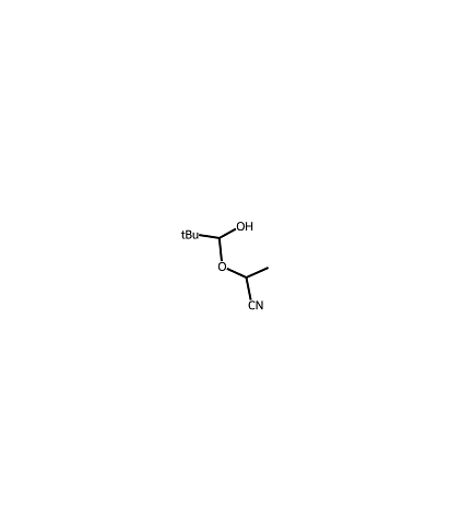 CC(C#N)OC(O)C(C)(C)C